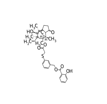 C=C[C@]1(C)C[C@@H](OC(=O)CSc2cccc(COC(=O)c3ccccc3O)c2)[C@]2(C)C(C)CCC3(CCC(=O)C32)[C@@H](C)[C@@H]1O